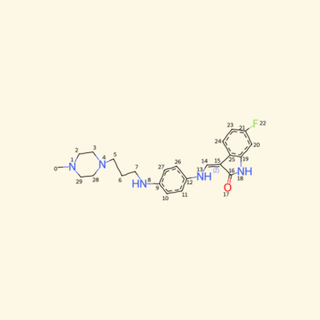 CN1CCN(CCCNc2ccc(N/C=C3\C(=O)Nc4cc(F)ccc43)cc2)CC1